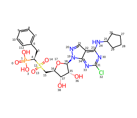 O=P(O)(O)[C@@H](Cc1ccccc1)S(=O)(=O)C[C@H]1O[C@@H](n2ncc3c(NC4CCCC4)nc(Cl)nc32)[C@H](O)[C@@H]1O